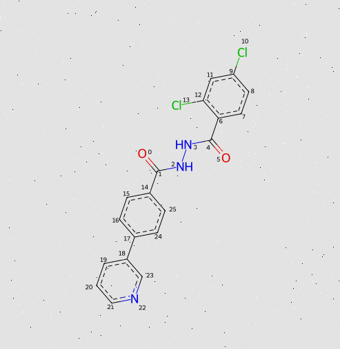 O=C(NNC(=O)c1ccc(Cl)cc1Cl)c1ccc(-c2cccnc2)cc1